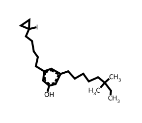 CCC(C)(C)CCCCCc1cc(O)cc(CCCCCC2(I)CC2)c1